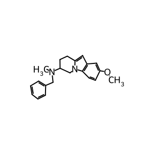 COc1ccc2c(c1)cc1n2CC(N(C)Cc2ccccc2)CC1